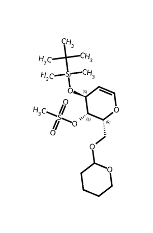 CC(C)(C)[Si](C)(C)O[C@H]1C=CO[C@H](COC2CCCCO2)[C@@H]1OS(C)(=O)=O